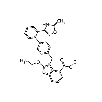 C=C1NC(c2ccccc2-c2ccc(Cn3c(OCC)nc4cccc(C(=O)OC)c43)cc2)=NO1